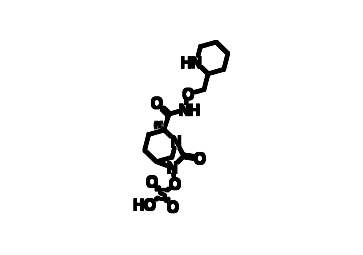 O=C(NOCC1CCCCN1)[C@@H]1CCC2CN1C(=O)N2OS(=O)(=O)O